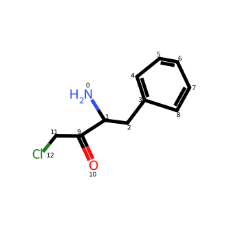 NC(Cc1ccccc1)C(=O)CCl